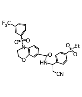 CCS(=O)(=O)c1ccc([C@H](CC#N)NC(=O)c2ccc3c(c2)OCCN3S(=O)(=O)c2cccc(C(F)(F)F)c2)cc1